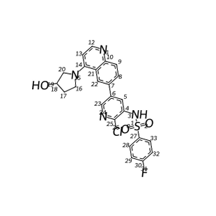 O=S(=O)(Nc1cc(-c2ccc3nccc(N4CCC(O)C4)c3c2)cnc1Cl)c1ccc(F)cc1